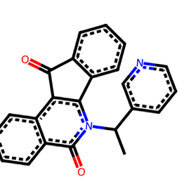 CC(c1cccnc1)n1c2c(c3ccccc3c1=O)C(=O)c1ccccc1-2